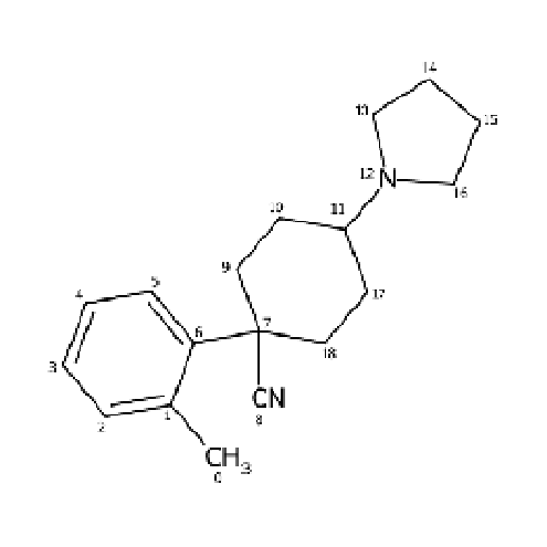 Cc1ccccc1C1(C#N)CCC(N2CCCC2)CC1